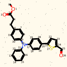 COC(=O)CCc1ccc(N(c2ccccc2)c2ccc(-c3ccc(C=O)s3)cc2)cc1